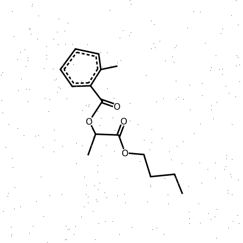 CCCCOC(=O)C(C)OC(=O)c1ccccc1C